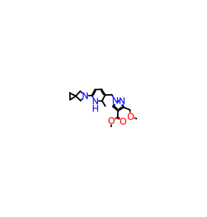 COCc1nn(CC2=CC=C(N3CC4(CC4)C3)NC2C)cc1C(=O)OC